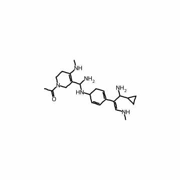 CN/C=C(/C1=CCC(NC(N)C2=C(NC)CCN(C(C)=O)C2)C=C1)C(N)C1CC1